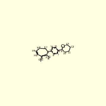 FC1=C(F)C(c2ccc(C3CCCCO3)cc2)CCC=C1